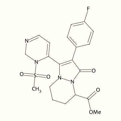 COC(=O)C1CCCn2c(C3=CC=NCN3S(C)(=O)=O)c(-c3ccc(F)cc3)c(=O)n21